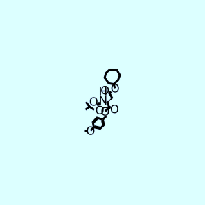 COc1ccc(COC(=O)[C@H](CC(=O)OC2CCCCCCC2)NC(=O)OC(C)(C)C)cc1